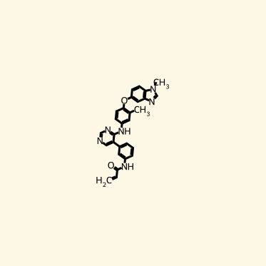 C=CC(=O)Nc1cccc(-c2cncnc2Nc2ccc(Oc3ccc4c(c3)ncn4C)c(C)c2)c1